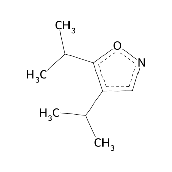 CC(C)c1cnoc1C(C)C